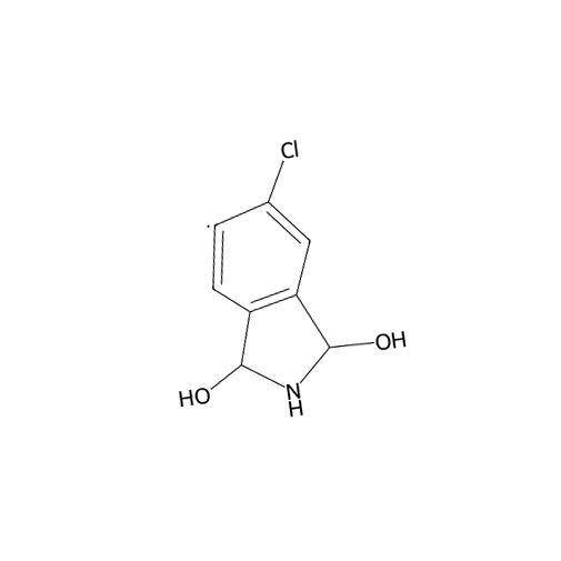 OC1NC(O)c2cc(Cl)[c]cc21